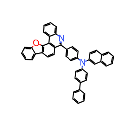 c1ccc(-c2ccc(N(c3ccc(-c4nc5ccccc5c5c4ccc4c6ccccc6oc45)cc3)c3ccc4ccccc4c3)cc2)cc1